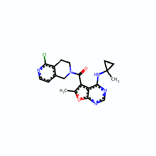 Cc1oc2ncnc(NC3(C)CC3)c2c1C(=O)N1CCc2c(ccnc2Cl)C1